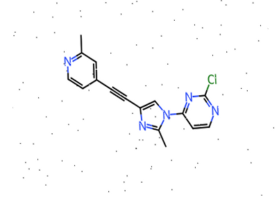 Cc1cc(C#Cc2cn(-c3ccnc(Cl)n3)c(C)n2)ccn1